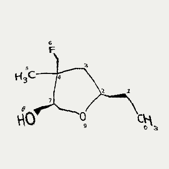 CC[C@@H]1CC(C)(F)[C@H](O)O1